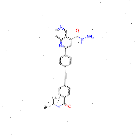 CC(C)C(C(=O)O)N(C)C(=O)c1ccc(C#Cc2ccc(-c3cc(C(=O)NN)c4cnccc4n3)cc2)cc1